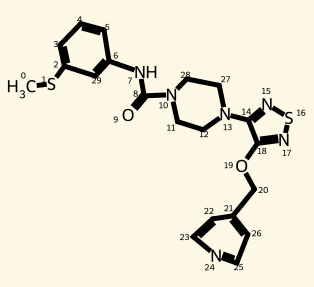 CSc1cccc(NC(=O)N2CCN(c3nsnc3OCc3ccncc3)CC2)c1